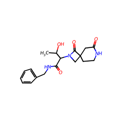 CC(O)C(C(=O)NCc1ccccc1)N1CC2(CCNC(=O)C2)C1=O